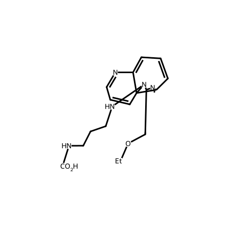 CCOCC1N=C2C=CC=C3N=CC=CC32N1NCCCNC(=O)O